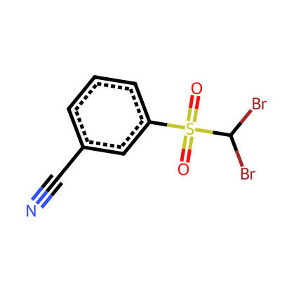 N#Cc1cccc(S(=O)(=O)C(Br)Br)c1